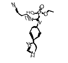 CCOP(=O)(O)C(=Nc1ccc(-c2c[nH]cn2)cc1)NCCC#N